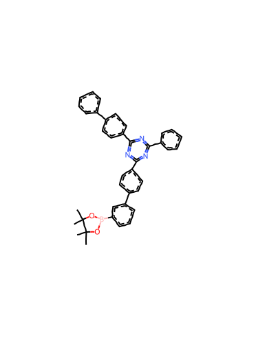 CC1(C)OB(c2cccc(-c3ccc(-c4nc(-c5ccccc5)nc(-c5ccc(-c6ccccc6)cc5)n4)cc3)c2)OC1(C)C